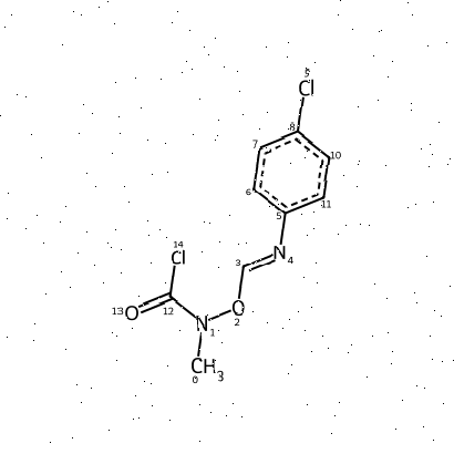 CN(OC=Nc1ccc(Cl)cc1)C(=O)Cl